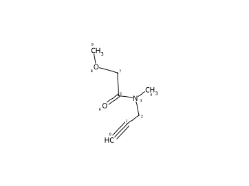 C#CCN(C)C(=O)COC